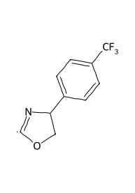 FC(F)(F)c1ccc(C2CO[C]=N2)cc1